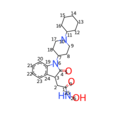 O=C(CC1C(=O)N(C2CCN(C3CCCCC3)CC2)c2ccccc21)NO